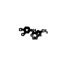 Cc1cc(C(=O)Nc2ccc(Cl)c(Cl)c2)n(C(C)(C)C)n1